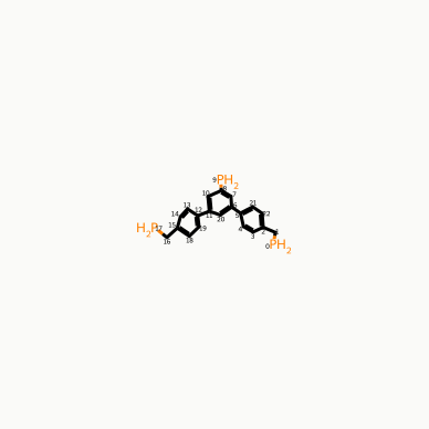 PCc1ccc(-c2cc(P)cc(-c3ccc(CP)cc3)c2)cc1